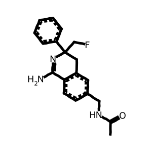 CC(=O)NCc1ccc2c(c1)CC(CF)(c1ccccc1)N=C2N